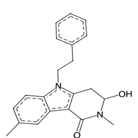 Cc1ccc2c(c1)c1c(n2CCc2ccccc2)CC(O)N(C)C1=O